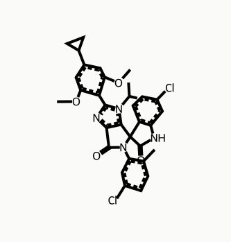 COc1cc(C2CC2)cc(OC)c1-c1nc2c(n1C(C)C)C1(C(=O)Nc3cc(Cl)ccc31)N(c1cc(Cl)ccc1C)C2=O